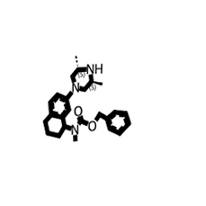 C[C@H]1CN(c2ccc3c(c2)C(N(C)C(=O)OCc2ccccc2)CCC3)C[C@H](C)N1